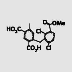 COC(=O)c1ccc(Cl)c(Cc2cc(C)c(C(=O)O)cc2C(=O)O)c1Cl